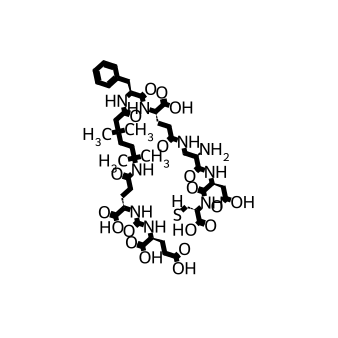 CC(C)(CCC(C)(C)NC(=O)CC[C@H](NC(=O)N[C@@H](CCC(=O)O)C(=O)O)C(=O)O)CC(=O)N[C@@H](Cc1ccccc1)C(=O)N[C@@H](CCC(=O)NC[C@H](N)C(=O)N[C@@H](CC(=O)O)C(=O)N[C@@H](CS)C(=O)O)C(=O)O